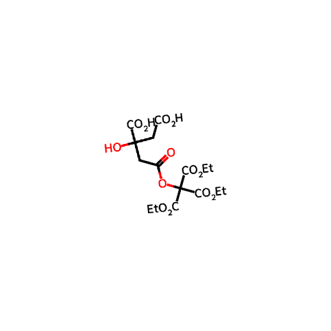 CCOC(=O)C(OC(=O)CC(O)(CC(=O)O)C(=O)O)(C(=O)OCC)C(=O)OCC